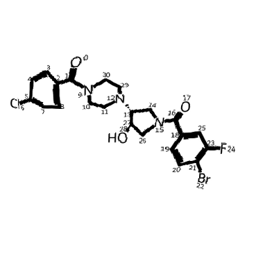 O=C(c1ccc(Cl)cc1)N1CCN([C@@H]2CN(C(=O)c3ccc(Br)c(F)c3)C[C@H]2O)CC1